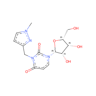 Cn1ccc(Cn2c(=O)ccn([C@@H]3O[C@H](CO)[C@H](O)[C@@H]3O)c2=O)n1